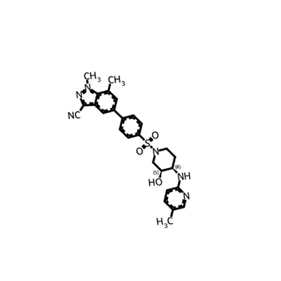 Cc1ccc(N[C@@H]2CCN(S(=O)(=O)c3ccc(-c4cc(C)c5c(c4)c(C#N)nn5C)cc3)C[C@@H]2O)nc1